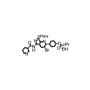 CCCCCCn1nc(NC(=O)c2cccnc2)c2cc(Br)c(-c3ccc(OP(=O)(O)CCC)cc3)nc21